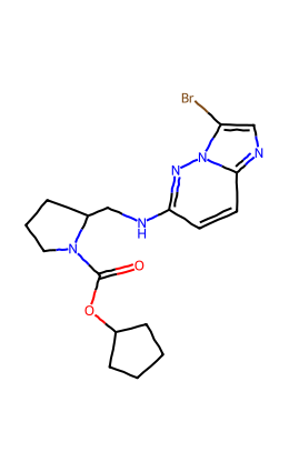 O=C(OC1CCCC1)N1CCCC1CNc1ccc2ncc(Br)n2n1